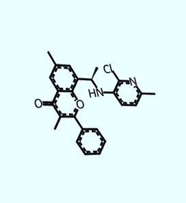 Cc1cc([C@@H](C)Nc2ccc(C)nc2Cl)c2oc(-c3ccccc3)c(C)c(=O)c2c1